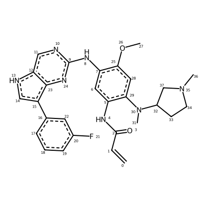 C=CC(=O)Nc1cc(Nc2ncc3[nH]cc(-c4cccc(F)c4)c3n2)c(OC)cc1N(C)C1CCN(C)C1